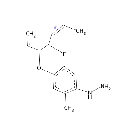 C=CC(Oc1ccc(NN)c(C)c1)C(F)/C=C\C